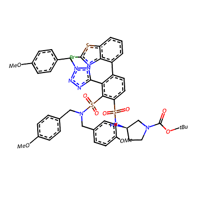 COc1ccc(CN(Cc2ccc(OC)cc2)S(=O)(=O)c2c(S(=O)(=O)N[C@@H]3CCN(C(=O)OC(C)(C)C)C3)ccc(-c3cccc4sc(Br)nc34)c2-c2nnn(Cc3ccc(OC)cc3)n2)cc1